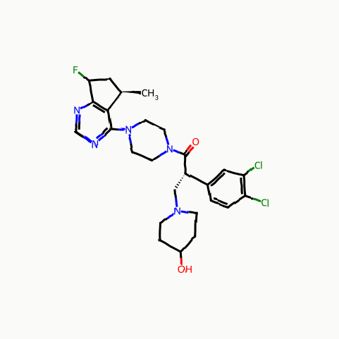 C[C@@H]1CC(F)c2ncnc(N3CCN(C(=O)[C@@H](CN4CCC(O)CC4)c4ccc(Cl)c(Cl)c4)CC3)c21